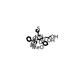 COc1ccccc1Oc1c(OC[C@H](O)CO)nc(-c2ccsc2)nc1N(CC(C)C)S(=O)(=O)c1ccccc1